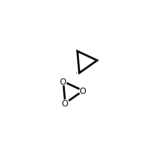 [CH]1CC1.o1oo1